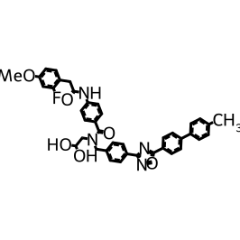 COc1ccc(CC(=O)Nc2ccc(C(=O)N(Cc3ccc(-c4noc(-c5ccc(-c6ccc(C)cc6)cc5)n4)cc3)CC(O)O)cc2)c(F)c1